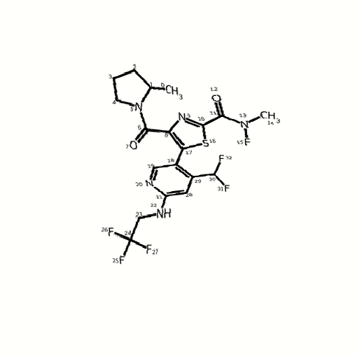 CC1CCCN1C(=O)c1nc(C(=O)N(C)F)sc1-c1cnc(NCC(F)(F)F)cc1C(F)F